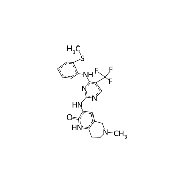 CSc1ccccc1Nc1nc(Nc2cc3c([nH]c2=O)CCN(C)C3)ncc1C(F)(F)F